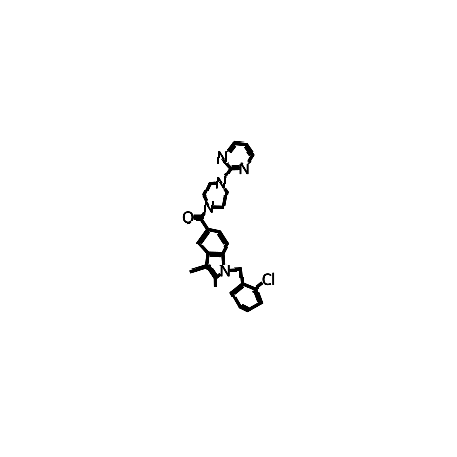 Cc1c(C)n(Cc2ccccc2Cl)c2ccc(C(=O)N3CCN(c4ncccn4)CC3)cc12